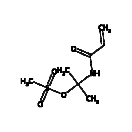 C=CC(=O)NC(C)(C)OS(C)(=O)=O